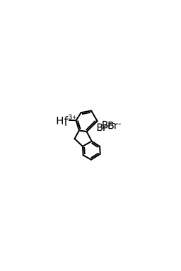 [Br-].[Br-].[Br-].[Hf+3][c]1cccc2c1Cc1ccccc1-2